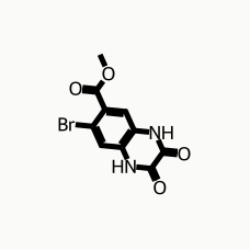 COC(=O)c1cc2[nH]c(=O)c(=O)[nH]c2cc1Br